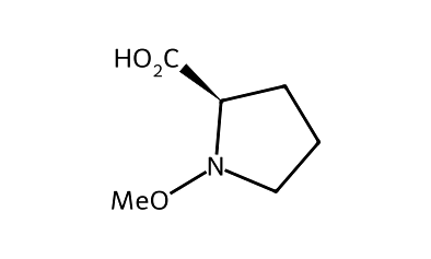 CON1CCC[C@@H]1C(=O)O